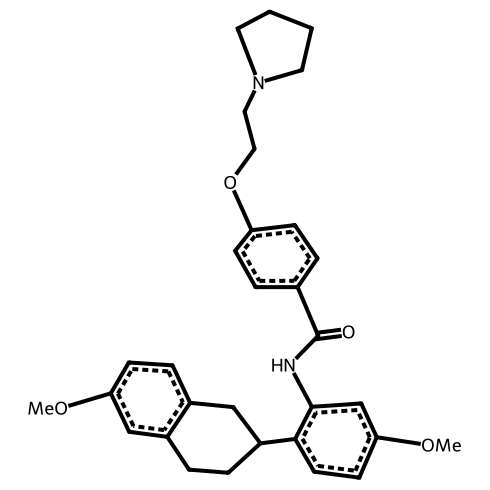 COc1ccc2c(c1)CCC(c1ccc(OC)cc1NC(=O)c1ccc(OCCN3CCCC3)cc1)C2